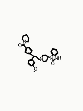 COc1cccc(C(CCN2CCC(n3c(=O)[nH]c4ccccc43)CC2)c2ccc(C(=O)N3CCCCC3)cc2)c1